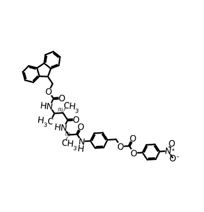 CC(NC(=O)OCC1c2ccccc2-c2ccccc21)[C@H](C)C(=O)N[C@@H](C)C(=O)Nc1ccc(COC(=O)Oc2ccc([N+](=O)[O-])cc2)cc1